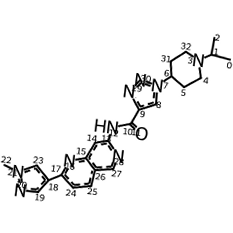 CC(C)N1CCC(n2cc(C(=O)Nc3cc4nc(-c5cnn(C)c5)ccc4cn3)nn2)CC1